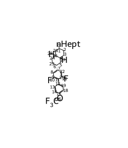 CCCCCCCC1CC[C@@H]2C[C@H](c3cc(F)c(-c4ccc(OC(F)(F)F)cc4)c(F)c3)CC[C@@H]2C1